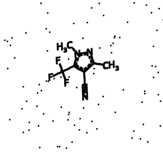 Cc1nn(C)c(C(F)(F)F)c1C#N